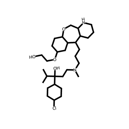 CC(C)C(O)(CCN(C)CCCC1C2CCCNC2COC2CCC(OCCO)CC21)C1CCC(Cl)CC1